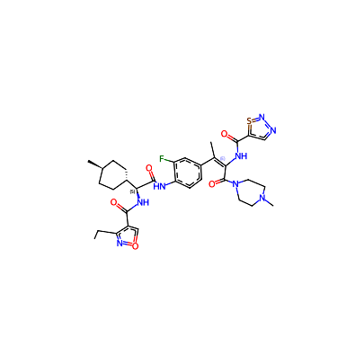 CCc1nocc1C(=O)N[C@H](C(=O)Nc1ccc(/C(C)=C(/NC(=O)c2cnns2)C(=O)N2CCN(C)CC2)cc1F)[C@H]1CC[C@H](C)CC1